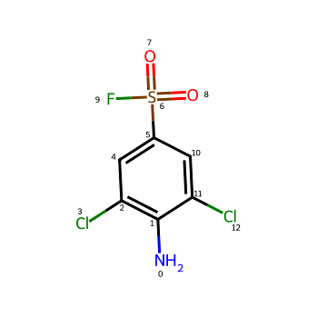 Nc1c(Cl)cc(S(=O)(=O)F)cc1Cl